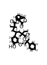 CCC(C)(CC(CC(C)(C)C(=O)OC1C2CC3C(=O)OC1C3C2)c1ccc(O)c(OC)c1)C(=O)OC(C)(C)c1ccccc1